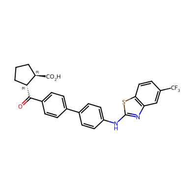 O=C(O)[C@@H]1CCC[C@H]1C(=O)c1ccc(-c2ccc(Nc3nc4cc(C(F)(F)F)ccc4s3)cc2)cc1